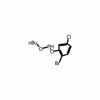 CCCCOPOc1cc(Cl)ccc1Br